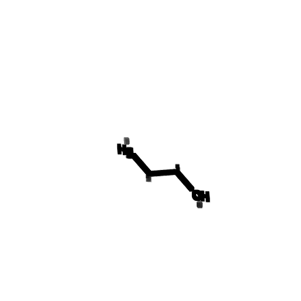 OC[CH2][Hg]